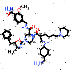 COc1cc(CNC(=O)[C@@H]2CN(C3=N[C@@H](C)C(Cc4ccccc4)O3)CCN2C(=O)C(CCCCN2CCCCC2)CNC2CCC(CN)CC2)ccc1C(N)=O